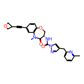 Cc1cccc(Cc2cnn(C(=O)N[C@H]3COc4ccc(C#CC5COC5)cc4N(C)C3=O)c2)n1